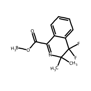 BOC(=O)C1=NC(C)(C)C(F)(F)c2ccccc21